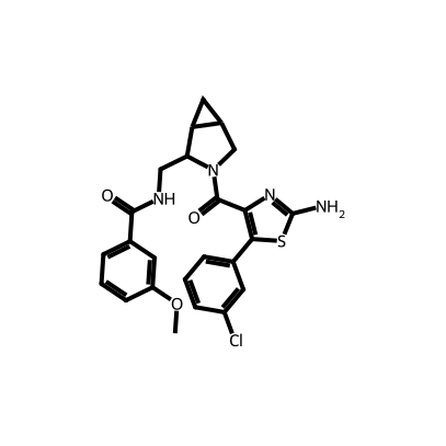 COc1cccc(C(=O)NCC2C3CC3CN2C(=O)c2nc(N)sc2-c2cccc(Cl)c2)c1